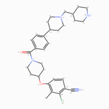 Cc1c(OC2CCN(C(=O)c3ccc(C4CCN(CC5CCNCC5)CC4)cc3)CC2)ccc(C#N)c1Cl